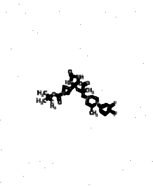 C[C@H]1CN(CC(C)(C=O)C[C@@]2(C3CN(C(=O)OC(C)(C)C)C3)NC(=O)NC2=O)CCN1c1ccc(F)c(F)c1